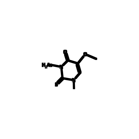 COc1cn(C)c(=S)n([AsH2])c1=O